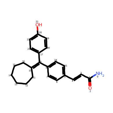 NC(=O)/C=C/c1ccc(C(=C2CCCCCC2)c2ccc(O)cc2)cc1